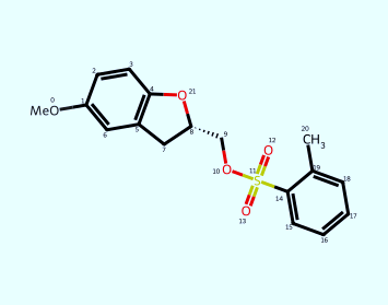 COc1ccc2c(c1)C[C@@H](COS(=O)(=O)c1ccccc1C)O2